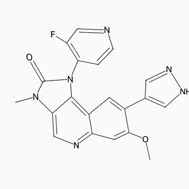 COc1cc2ncc3c(c2cc1-c1cn[nH]c1)n(-c1ccncc1F)c(=O)n3C